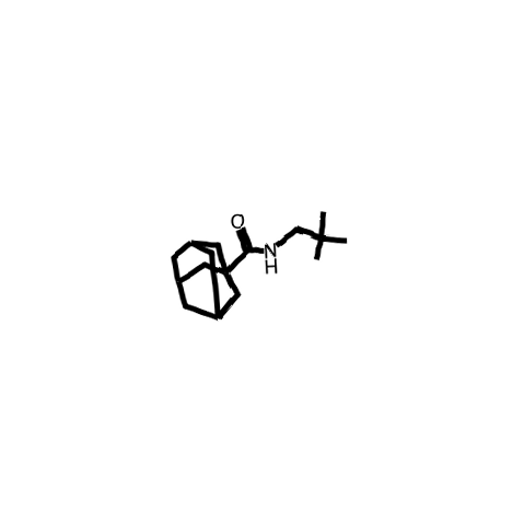 CC(C)(C)CNC(=O)C12CC3CC(CC(C3)C1)C2